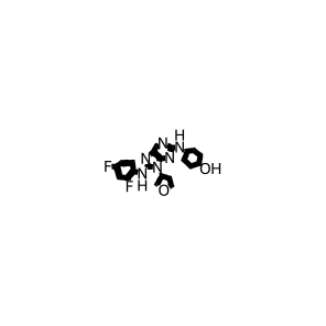 O[C@H]1CC[C@H](Nc2ncc3nc(Nc4ccc(F)cc4F)n([C@H]4CCOC4)c3n2)CC1